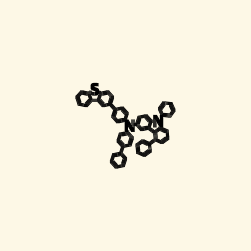 c1ccc(-c2ccc(N(c3ccc(-c4ccc5sc6ccccc6c5c4)cc3)c3ccc4c(c3)c3c(-c5ccccc5)cccc3n4-c3ccccc3)cc2)cc1